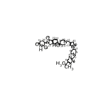 CC(C)c1cnc(CN2CCC(n3cc(CN4CCC(O)(c5ccc6c(c5)CN(C5CCC(=O)NC5=O)C6=O)CC4)cn3)CC2)nc1